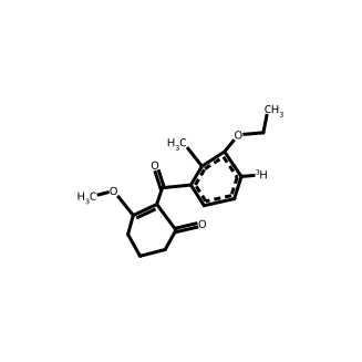 [3H]c1ccc(C(=O)C2=C(OC)CCCC2=O)c(C)c1OCC